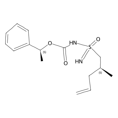 C=CC[C@H](C)CS(=N)(=O)NC(=O)O[C@@H](C)c1ccccc1